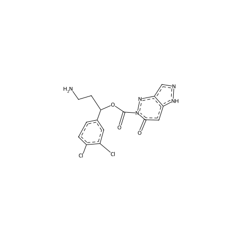 NCCC(OC(=O)n1nc2cn[nH]c2cc1=O)c1ccc(Cl)c(Cl)c1